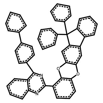 c1ccc(-c2ccc(-c3nc(-c4cccc5c4Oc4cc6c(cc4O5)-c4ccccc4C6(c4ccccc4)c4ccccc4)nc4ccccc34)cc2)cc1